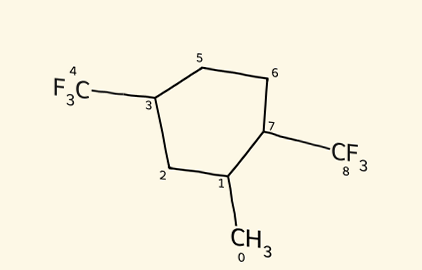 CC1CC(C(F)(F)F)CCC1C(F)(F)F